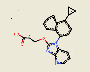 O=C(O)CCOc1nc2ncccc2n1-c1ccc(C2CC2)c2ccccc12